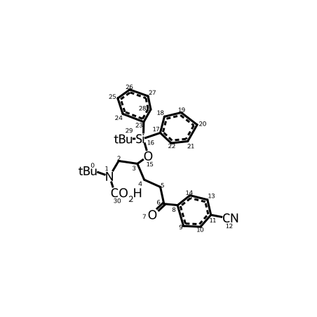 CC(C)(C)N(CC(CCC(=O)c1ccc(C#N)cc1)O[Si](c1ccccc1)(c1ccccc1)C(C)(C)C)C(=O)O